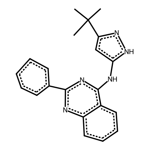 CC(C)(C)c1cc(Nc2nc(-c3ccccc3)nc3ccccc23)[nH]n1